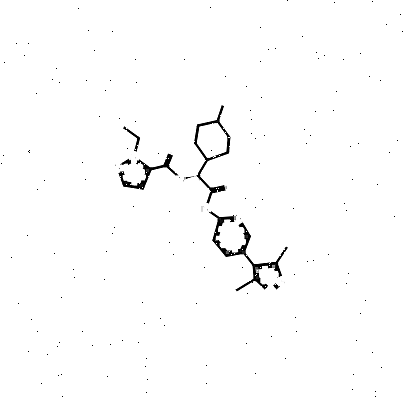 CCn1nccc1C(=O)N[C@H](C(=O)Nc1ccc(-c2c(C)noc2C)cn1)C1CCC(C)CC1